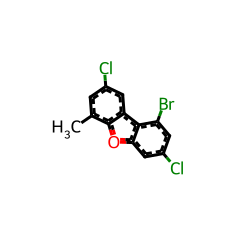 Cc1cc(Cl)cc2c1oc1cc(Cl)cc(Br)c12